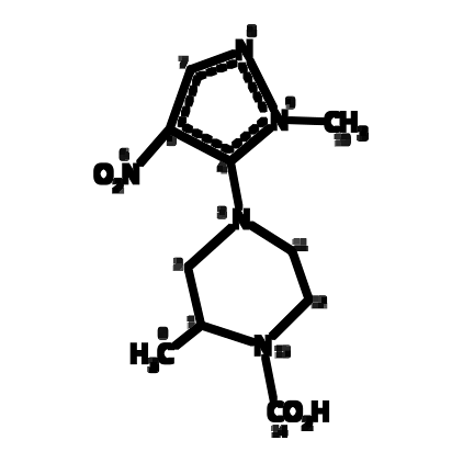 CC1CN(c2c([N+](=O)[O-])cnn2C)CCN1C(=O)O